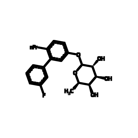 CCCc1ccc(OC2O[C@H](C)[C@H](O)[C@H](O)[C@H]2O)cc1-c1cccc(F)c1